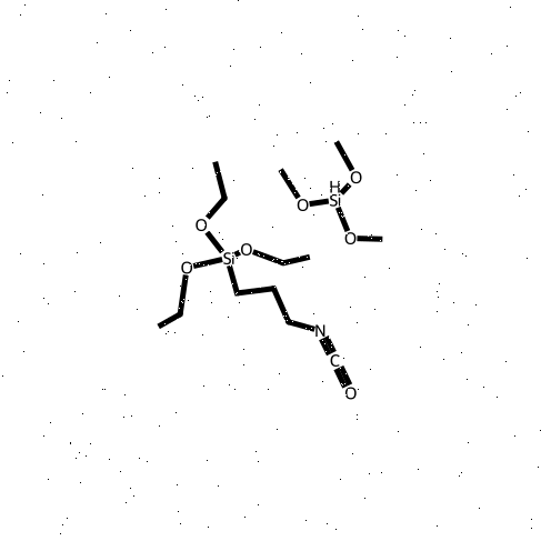 CCO[Si](CCCN=C=O)(OCC)OCC.CO[SiH](OC)OC